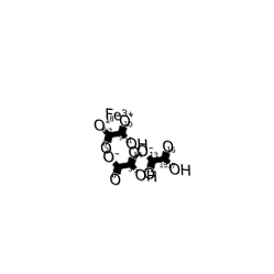 O=C([O-])C(=O)O.O=C([O-])C(=O)O.O=C([O-])C(=O)O.[Fe+3]